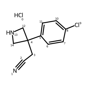 Cl.N#CCC1(c2ccc(Cl)cc2)CNC1